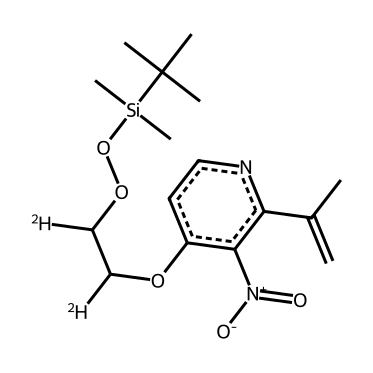 [2H]C(OO[Si](C)(C)C(C)(C)C)C([2H])Oc1ccnc(C(=C)C)c1[N+](=O)[O-]